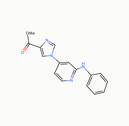 COC(=O)c1cn(-c2ccnc(Nc3ccccc3)c2)cn1